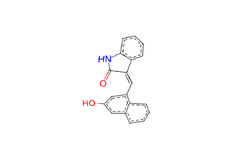 O=C1Nc2ccccc2C1=Cc1cc(O)cc2ccccc12